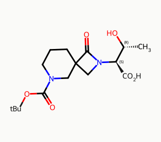 C[C@@H](O)[C@@H](C(=O)O)N1CC2(CCCN(C(=O)OC(C)(C)C)C2)C1=O